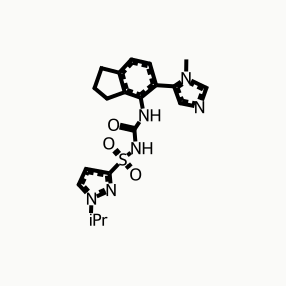 CC(C)n1ccc(S(=O)(=O)NC(=O)Nc2c(-c3cncn3C)ccc3c2CCC3)n1